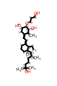 C=C1/C(=C\C=C2CCC[C@@]3(C)C2CC[C@@H]3[C@H](C)CCCC(C)(C)O)C[C@@H](O)[C@@H](OCCCO)[C@@H]1O